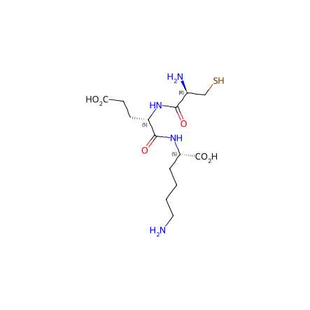 NCCCC[C@H](NC(=O)[C@H](CCC(=O)O)NC(=O)[C@@H](N)CS)C(=O)O